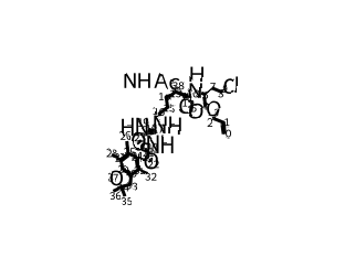 C=CCOC(=O)[C@H](CCCl)NC(=O)[C@@H](CCCNC(=N)NS(=O)(=O)c1c(C)c(C)c2c(c1C)CC(C)(C)O2)NC(C)=O